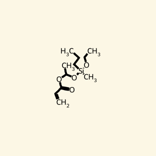 C=CC(=O)OC(C)O[Si](C)(CCC)OCC